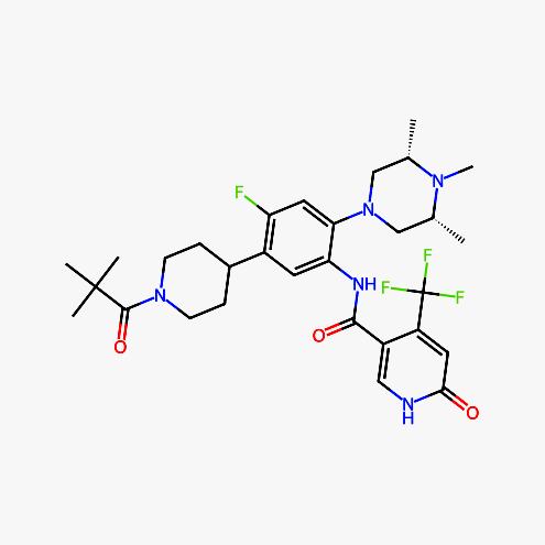 C[C@@H]1CN(c2cc(F)c(C3CCN(C(=O)C(C)(C)C)CC3)cc2NC(=O)c2c[nH]c(=O)cc2C(F)(F)F)C[C@H](C)N1C